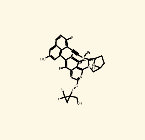 COc1c(F)c(-c2cc(O)cc3ccc(F)c(C#C[Si](C(C)C)(C(C)C)C(C)C)c23)c(F)c2nc(OCC3(CO)CC3(F)F)nc(N3CC4CCC(C3)N4)c12